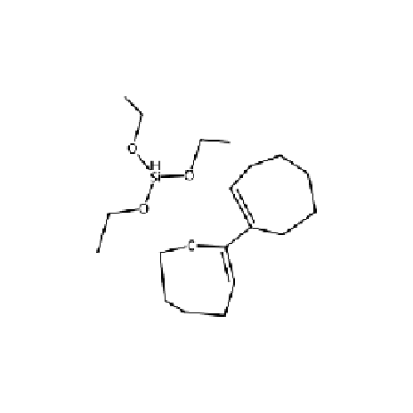 C1=C(C2=CCCCCC2)CCCCC1.CCO[SiH](OCC)OCC